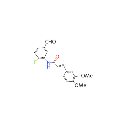 COc1ccc(/C=C/C(=O)Nc2cc(C=O)ccc2F)cc1OC